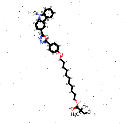 CCC(C)(C)C(=O)OCCCCCCCCCCCOc1ccc(-c2nnc(-c3ccc4c(c3)c3ccccc3n4C)o2)cc1